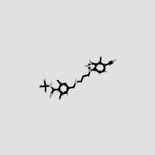 Cc1cc(COCCCn2nnc3c(C)c(C#N)ccc32)cc(C)c1C(=O)OC(C)(C)C